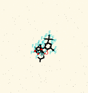 CC(C)[CH2][Al]([O]c1c(C(F)(F)F)c(F)c(C(C(F)(F)F)(C(F)(F)F)C(F)(F)F)c(F)c1C(C(F)(F)F)(C(F)(F)F)C(F)(F)F)[c]1c(F)c(F)c(F)c(F)c1F